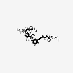 COC(=O)CCCC#Cc1cccc(NC(=O)c2ccn3c(C)cc(C)nc23)c1